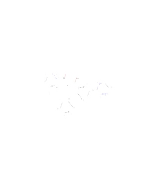 Cc1ccnc(C(=O)CC(=O)c2cc(Cc3ccccc3)cc(-c3cnccn3)c2)c1